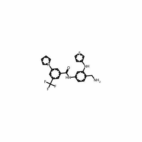 NCc1ccc(NC(=O)c2cc(-n3cccc3)cc(C(F)(F)F)c2)cc1Nc1ccsc1